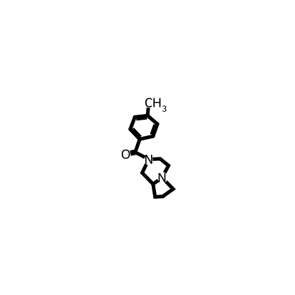 Cc1ccc(C(=O)N2CCN3CCCC3C2)cc1